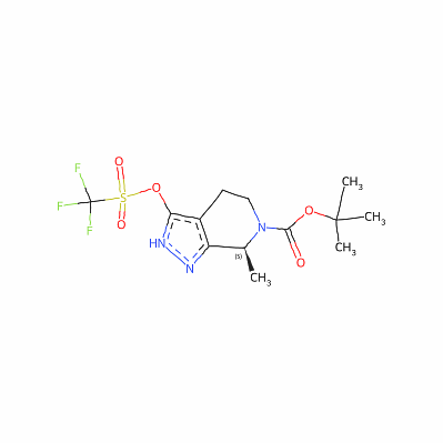 C[C@H]1c2n[nH]c(OS(=O)(=O)C(F)(F)F)c2CCN1C(=O)OC(C)(C)C